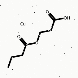 CCCC(=O)OCCC(=O)O.[Cu]